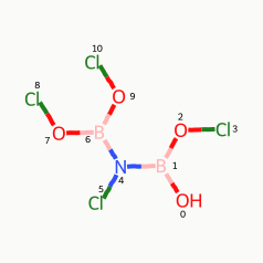 OB(OCl)N(Cl)B(OCl)OCl